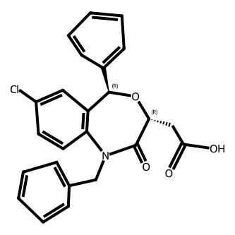 O=C(O)C[C@H]1O[C@H](c2ccccc2)c2cc(Cl)ccc2N(Cc2ccccc2)C1=O